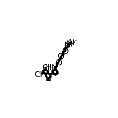 CN1Cc2c(Cl)cc(Cl)cc2C(c2cccc(NCCOCCOCCOCCN=[N+]=[N-])c2)C1